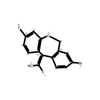 N#C/C(F)=C1/c2ccc(Br)cc2COc2cc(F)ccc21